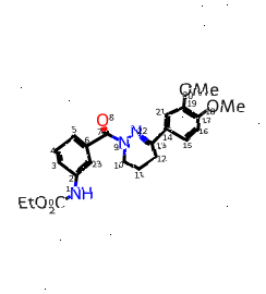 CCOC(=O)Nc1cccc(C(=O)N2CCCC(c3ccc(OC)c(OC)c3)=N2)c1